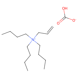 C=CC[N+](CCCC)(CCCC)CCCC.O=C([O-])O